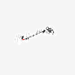 CC(CCC(=O)NCCCOCCOCCOCCCNC(=O)COc1cccc2c1C(=O)N(C1CNC(=O)CC1=O)C2=O)C(=O)OC(C)(C)C